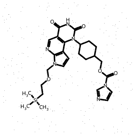 C[Si](C)(C)CCOCn1ccc2c1ncc1c(=O)[nH]c(=O)n(C3CCC(COC(=O)n4ccnc4)CC3)c12